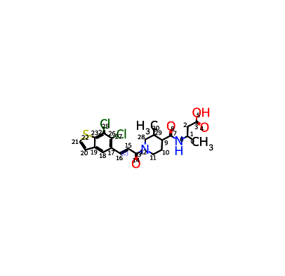 CC(CC(=O)O)NC(=O)C1CCN(C(=O)/C=C/c2cc3ccsc3c(Cl)c2Cl)CC1C